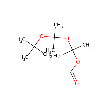 CC(C)(C)OC(C)(C)OC(C)(C)OC=O